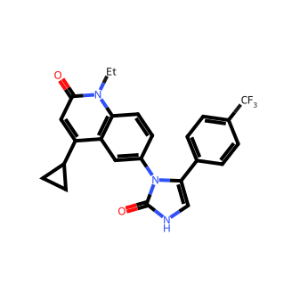 CCn1c(=O)cc(C2CC2)c2cc(-n3c(-c4ccc(C(F)(F)F)cc4)c[nH]c3=O)ccc21